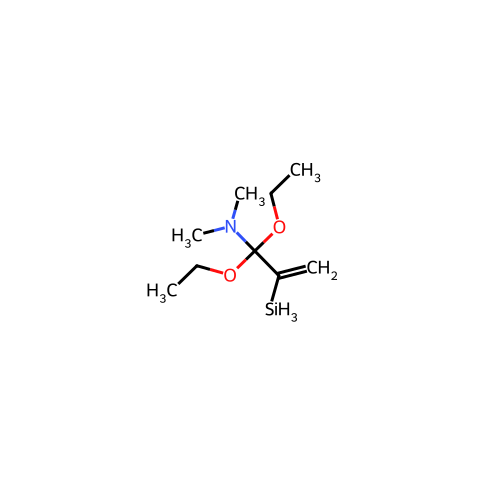 C=C([SiH3])C(OCC)(OCC)N(C)C